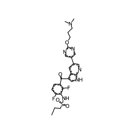 CCCS(=O)(=O)Nc1c(F)ccc(C(=O)c2c[nH]c3ncc(-c4cnc(OCCCN(C)C)nc4)cc23)c1F